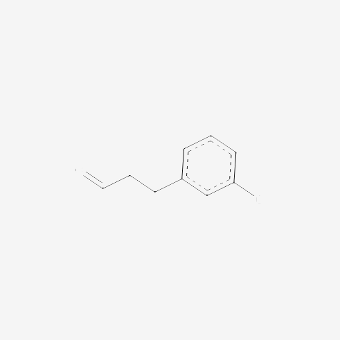 O=[C]CCc1cccc(Cl)c1